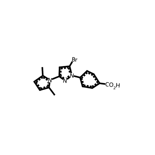 Cc1ccc(C)n1-c1cc(Br)n(-c2ccc(C(=O)O)cc2)n1